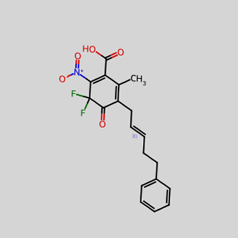 CC1=C(C/C=C/CCc2ccccc2)C(=O)C(F)(F)C([N+](=O)[O-])=C1C(=O)O